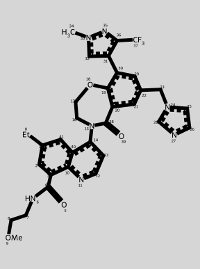 CCc1cc(C(=O)NCCOC)c2nccc(N3CCOc4c(cc(Cn5ccnc5)cc4-c4cn(C)nc4C(F)(F)F)C3=O)c2c1